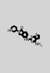 Nc1nc(Nc2ccc3c(c2)CN(C2CCCNC2)C3=O)nc2sccc12